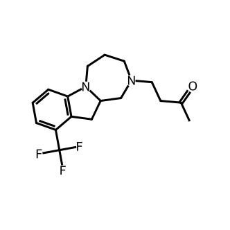 CC(=O)CCN1CCCN2c3cccc(C(F)(F)F)c3CC2C1